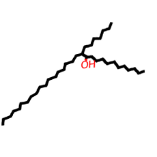 CCCCCCCCCCCCCCCCCCC(CCCCCCC)C(O)CCCCCCCCCCC